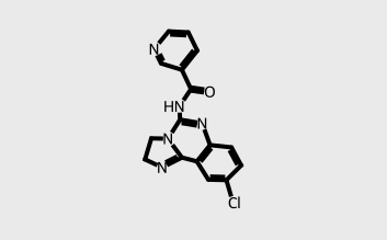 O=C(NC1=Nc2ccc(Cl)cc2C2=NCCN12)c1cccnc1